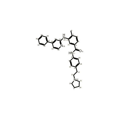 Cc1ccc(C(=O)Nc2ccc(CCN3CCCC3)cc2)cc1Nc1cc(-c2ccccc2)ccn1